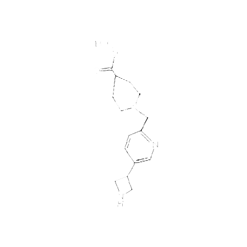 COC(=O)C1CCN(Cc2ccc(C3CNC3)cn2)CC1